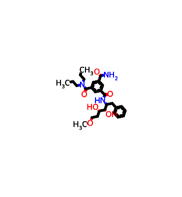 CCCN(CCC)C(=O)c1cc(C(N)=O)cc(C(=O)NC(Cc2ccccc2)C(O)C(O)CCOC)c1